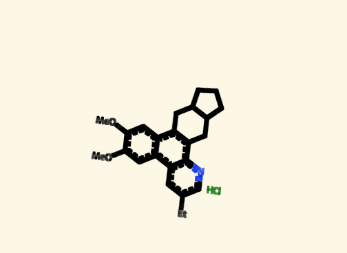 CCc1cnc2c3c(c4cc(OC)c(OC)cc4c2c1)CC1CCCC1C3.Cl